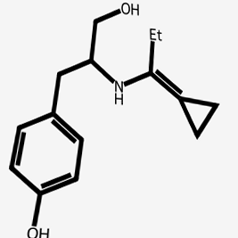 CCC(NC(CO)Cc1ccc(O)cc1)=C1CC1